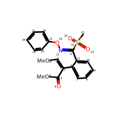 COC=C(C(=O)OC)c1ccccc1C(=NOc1ccccc1)S(C)(=O)=O